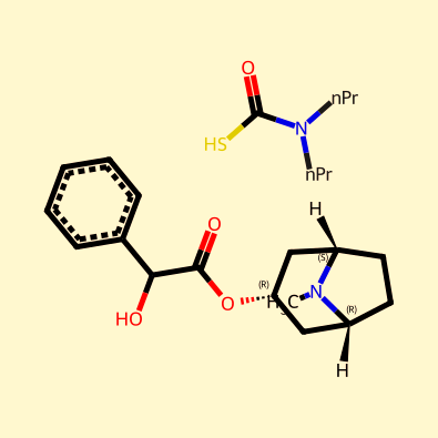 CCCN(CCC)C(=O)S.CN1[C@@H]2CC[C@H]1C[C@@H](OC(=O)C(O)c1ccccc1)C2